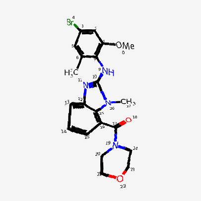 COc1cc(Br)cc(C)c1Nc1nc2cccc(C(=O)N3CCOCC3)c2n1C